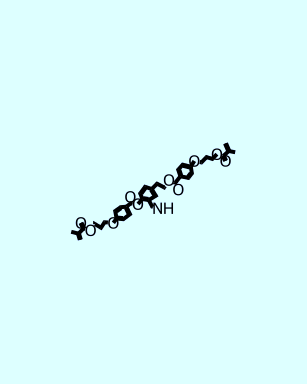 C=C(C)C(=O)OCCCOc1ccc(C(=O)OCCc2ccc(OC(=O)c3ccc(OCCCOC(=O)C(=C)C)cc3)c(C=N)c2)cc1